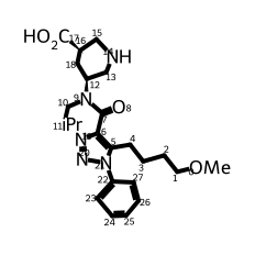 COCCCCc1c(C(=O)N(CC(C)C)[C@@H]2CNC[C@H](C(=O)O)C2)nnn1-c1ccccc1